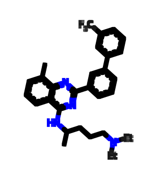 CCN(CC)CCCC(C)Nc1nc(-c2cccc(-c3cccc(C(F)(F)F)c3)c2)nc2c(C)cccc12